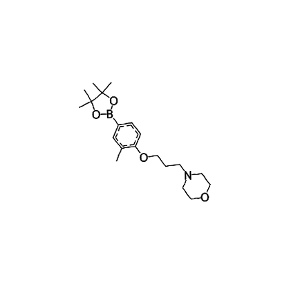 Cc1cc(B2OC(C)(C)C(C)(C)O2)ccc1OCCCN1CCOCC1